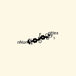 CCCCCCCCCc1cnc(-c2ccc(C(=O)Oc3ccc(C(=O)OC(CCCCCC)C(F)(F)F)cc3F)cc2)nc1